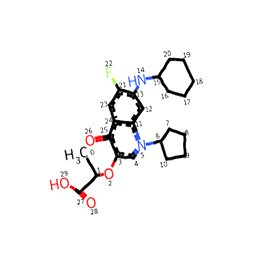 CC(Oc1cn(C2CCCC2)c2cc(NC3CCCCC3)c(F)cc2c1=O)C(=O)O